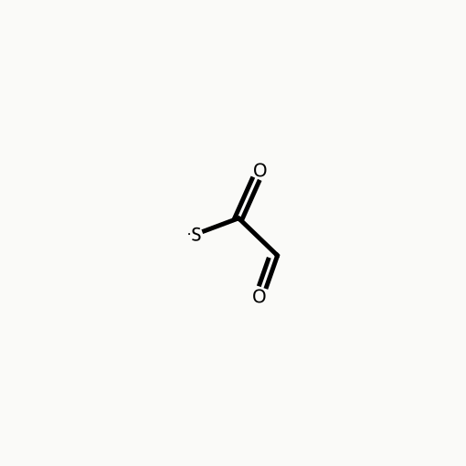 O=CC(=O)[S]